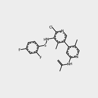 C=C(C)Nc1cc(-c2cnc(Cl)c(NSc3ccc(F)cc3F)c2C)c(C)cn1